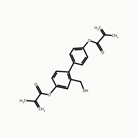 C=C(C)C(=O)Oc1ccc(-c2ccc(OC(=O)C(=C)C)cc2CO)cc1